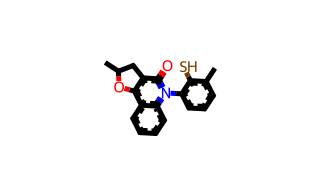 Cc1cccc(-n2c(=O)c3c(c4ccccc42)OC(C)C3)c1S